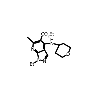 CCOC(=O)c1c(C)nc2c(cnn2CC)c1NC1CCOCC1